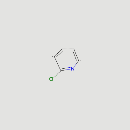 Clc1[c]cc[c]n1